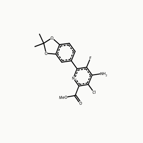 COC(=O)c1nc(-c2ccc3c(c2)OC(C)(C)O3)c(F)c(N)c1Cl